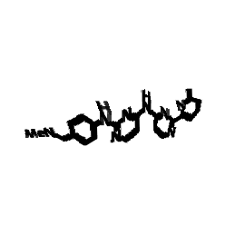 CNCc1ccc(Nc2nccc(Nc3ccnc(-c4cccc(C)n4)n3)n2)cc1